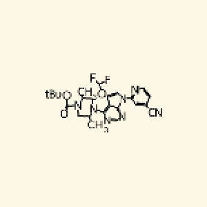 CC1CN(c2ncnc3c2c(OC(F)F)cn3-c2cc(C#N)ccn2)C(C)CN1C(=O)OC(C)(C)C